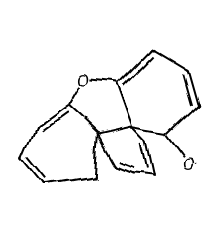 [O]C1C=CC=C2OC3=CC=CCC34C=CC=CC214